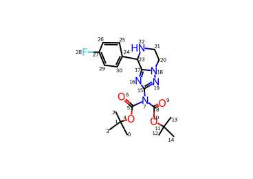 CC(C)(C)OC(=O)N(C(=O)OC(C)(C)C)c1nc2n(n1)CCNC2c1ccc(F)cc1